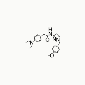 CCN(CC)c1ccc(CC(=O)Nc2ccn(Cc3ccc(OC)cc3)n2)cc1